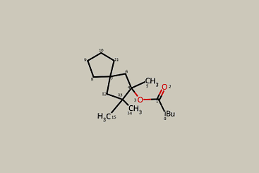 CCC(C)C(=O)OC1(C)CC2(CCCC2)CC1(C)C